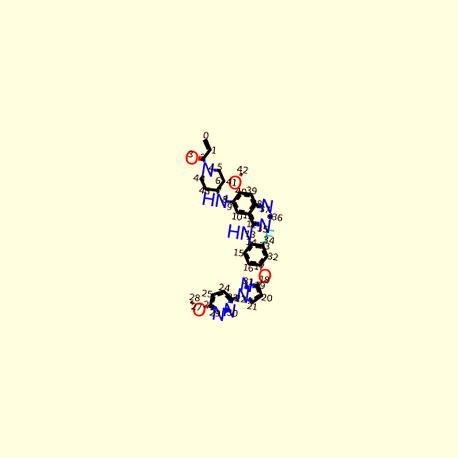 C=CC(=O)N1CCC(Nc2cc3c(Nc4ccc(Oc5ccn(-c6ccc(OC)nn6)n5)cc4F)ncnc3cc2OC)CC1